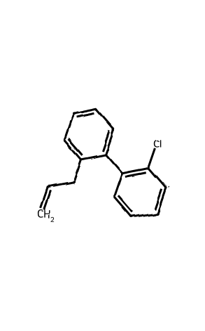 C=CCc1ccccc1-c1ccc[c]c1Cl